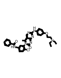 CCN(CC)CCOc1ccc(Nc2ncc3c(C)n(-c4cc(NC(=O)c5ccccc5)ccc4Cl)c(=O)nc3n2)cc1